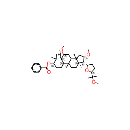 CO[C@H]1CC2C3(CC[C@]4(C)[C@@H](C5CC[C@@H](C(C)(C)OC)O5)[C@@H](OC)C[C@@]24C)C[C@@]32CC[C@H](OC(=O)c3ccccc3)C(C)(C)[C@H]12